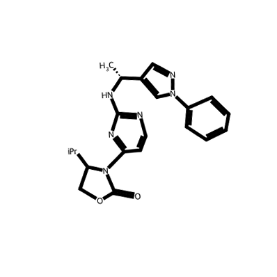 CC(C)C1COC(=O)N1c1ccnc(N[C@H](C)c2cnn(-c3ccccc3)c2)n1